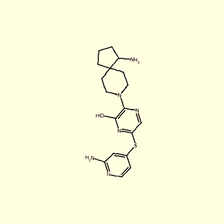 Nc1cc(Sc2cnc(N3CCC4(CCCC4N)CC3)c(O)n2)ccn1